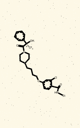 CCNC(=O)c1ccc(OCCCCC2CCN(C(=O)[C@](O)(c3ccccc3)C(F)(F)F)CC2)cc1Cl